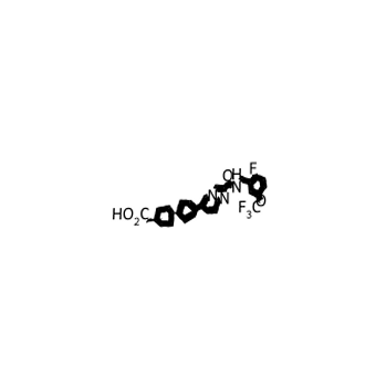 O=C(O)C[C@H]1CC[C@H](c2ccc(-c3ccc4nc(C(=O)NCc5cc(OC(F)(F)F)ccc5F)cn4c3)cc2)CC1